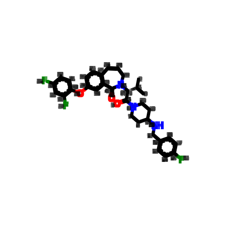 CC(C)[C@H](C(=O)N1CCC(NCc2ccc(F)cc2)CC1)N1CC=Cc2ccc(Oc3ccc(F)cc3F)cc2C1=O